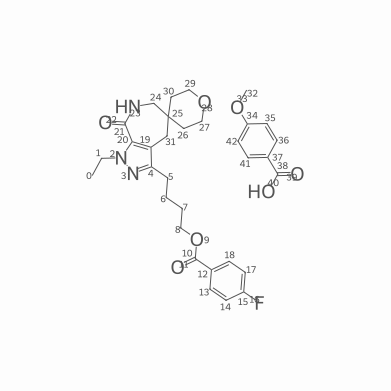 CCn1nc(CCCCOC(=O)c2ccc(F)cc2)c2c1C(=O)NCC1(CCOCC1)C2.COc1ccc(C(=O)O)cc1